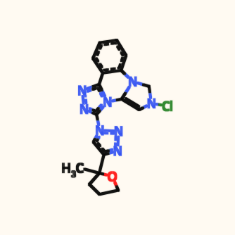 CC1(c2cn(-c3nnc4n3C3=CN(Cl)CN3c3ccccc3-4)nn2)CCCO1